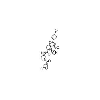 C[C@H](NC(=O)c1ncco1)[C@H](Oc1ccc(C(=O)N[C@H]2CCCN(C(=O)[C@H]3COC(=O)C3)C2)nc1)c1ccc(C2CC2)cc1